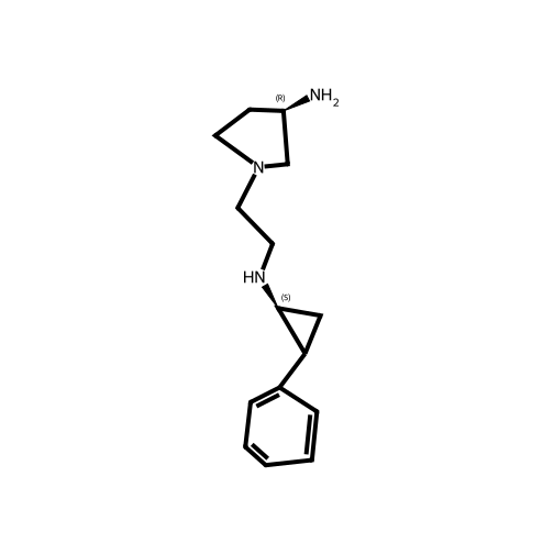 N[C@@H]1CCN(CCN[C@H]2CC2c2ccccc2)C1